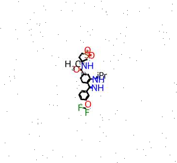 CC(C)NC1=C(C(=N)c2cccc(OC(F)F)c2)CC[C@@H](C(=O)N[C@@]2(C)CCS(=O)(=O)C2)C1